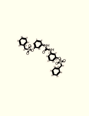 O=C(Nc1cccc(OS(=O)(=O)Cc2ccccc2)c1)Nc1cccc(OS(=O)(=O)Cc2ccccc2)c1